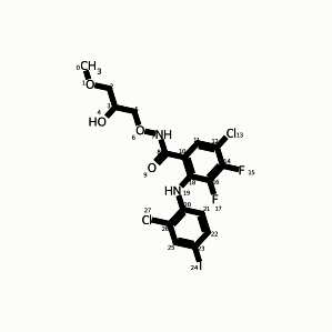 COCC(O)CONC(=O)c1cc(Cl)c(F)c(F)c1Nc1ccc(I)cc1Cl